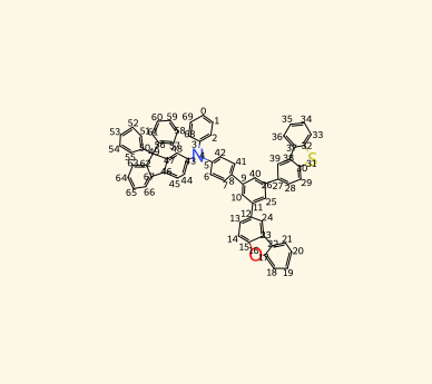 c1ccc(N(c2ccc(-c3cc(-c4ccc5oc6ccccc6c5c4)cc(-c4ccc5sc6ccccc6c5c4)c3)cc2)c2ccc3c(c2)C(c2ccccc2)(c2ccccc2)c2ccccc2-3)cc1